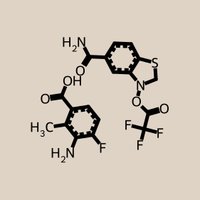 Cc1c(C(=O)O)ccc(F)c1N.NC(=O)c1ccc2c(c1)N(OC(=O)C(F)(F)F)CS2